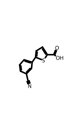 N#Cc1cccc(-c2ccc(C(=O)O)s2)c1